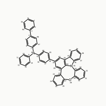 c1ccc(-c2ccc(N(c3ccccc3)c3ccc(-c4cc5c6ccccc6oc6ccccc6n6c7ccccc7c(c4)c56)cc3)cc2)cc1